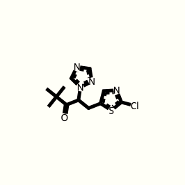 CC(C)(C)C(=O)C(Cc1cnc(Cl)s1)n1cncn1